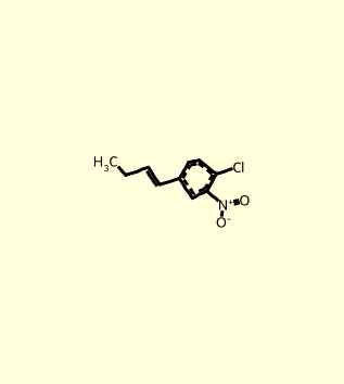 CCC=Cc1ccc(Cl)c([N+](=O)[O-])c1